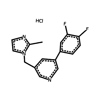 Cc1nccn1Cc1cncc(-c2ccc(F)c(F)c2)c1.Cl